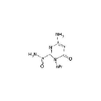 CCCn1c(C(N)=O)nc(N)[c]c1=O